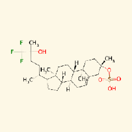 C[C@H](CCC(C)(O)C(F)(F)F)[C@H]1CC[C@H]2[C@@H]3CC=C4C[C@@](C)(OS(=O)(=O)O)CC[C@]4(C)[C@H]3CC[C@]12C